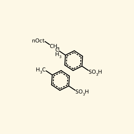 CCCCCCCCC.Cc1ccc(S(=O)(=O)O)cc1.Cc1ccc(S(=O)(=O)O)cc1